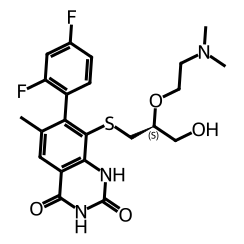 Cc1cc2c(=O)[nH]c(=O)[nH]c2c(SC[C@H](CO)OCCN(C)C)c1-c1ccc(F)cc1F